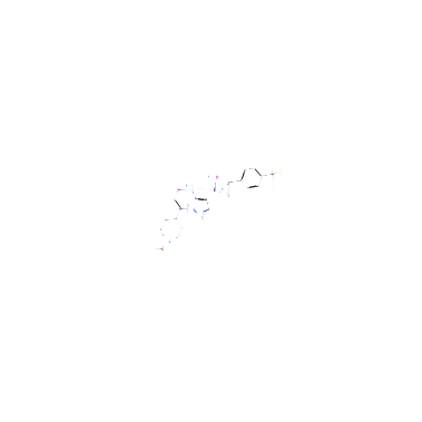 O=C(O)N1CCC(c2cc(=O)[nH]c3c(-c4noc(-c5ccc(C(F)(F)F)cc5)n4)cnn23)CC1